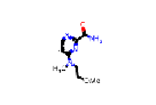 COCCN(C)c1[c]cnc(C(N)=O)n1